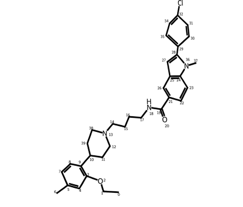 CCOc1cc(C)ccc1C1CCN(CCCCNC(=O)c2ccc3c(c2)cc(-c2ccc(Cl)cc2)n3C)CC1